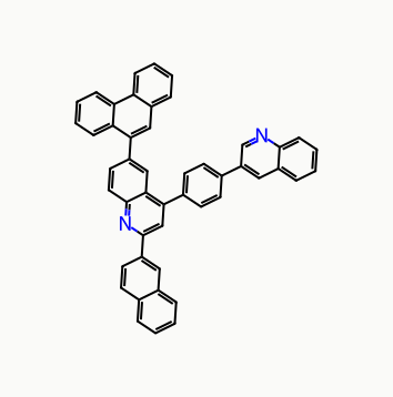 c1ccc2cc(-c3cc(-c4ccc(-c5cnc6ccccc6c5)cc4)c4cc(-c5cc6ccccc6c6ccccc56)ccc4n3)ccc2c1